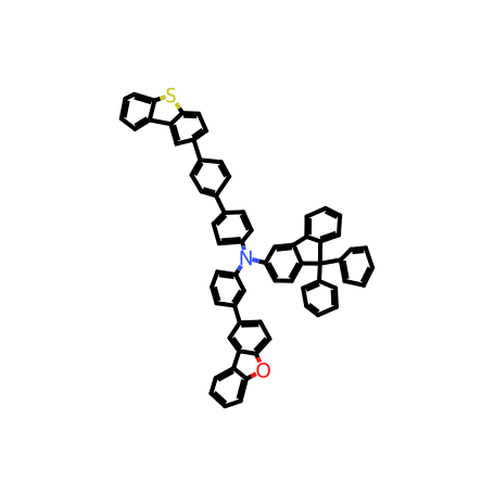 c1ccc(C2(c3ccccc3)c3ccccc3-c3cc(N(c4ccc(-c5ccc(-c6ccc7sc8ccccc8c7c6)cc5)cc4)c4cccc(-c5ccc6oc7ccccc7c6c5)c4)ccc32)cc1